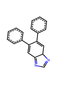 C1=NC2C=C(c3ccccc3)C(c3ccccc3)=CC2=N1